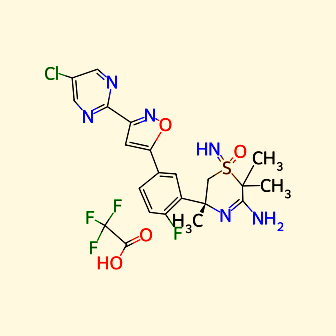 CC1(C)C(N)=N[C@](C)(c2cc(-c3cc(-c4ncc(Cl)cn4)no3)ccc2F)CS1(=N)=O.O=C(O)C(F)(F)F